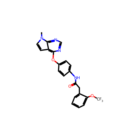 Cn1ccc2c(Oc3ccc(NC(=O)Cc4ccccc4OC(F)(F)F)cc3)ncnc21